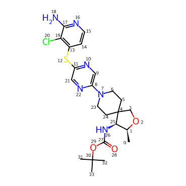 C[C@@H]1OCC2(CCN(c3cnc(Sc4ccnc(N)c4Cl)cn3)CC2)[C@@H]1NC(=O)OC(C)(C)C